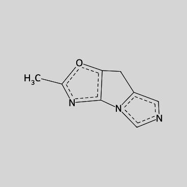 Cc1nc2c(o1)Cc1cncn1-2